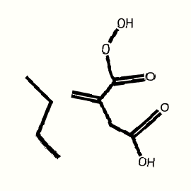 C=C(CC(=O)O)C(=O)OO.CCCC